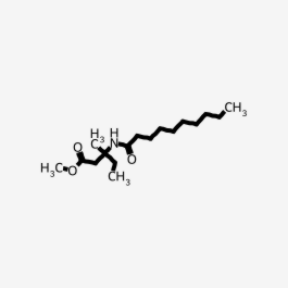 CCCCCCCCCC(=O)NC(C)(CC)CC(=O)OC